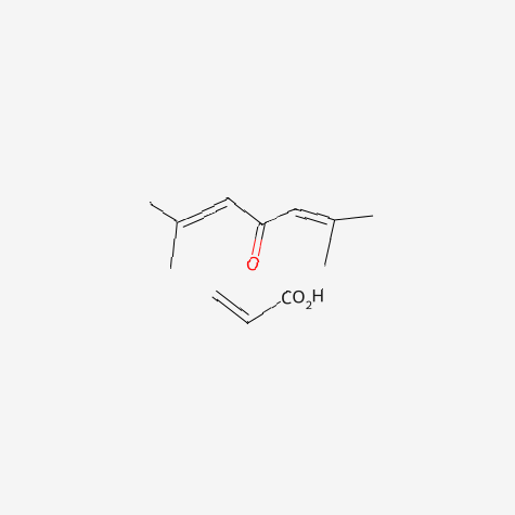 C=CC(=O)O.CC(C)=CC(=O)C=C(C)C